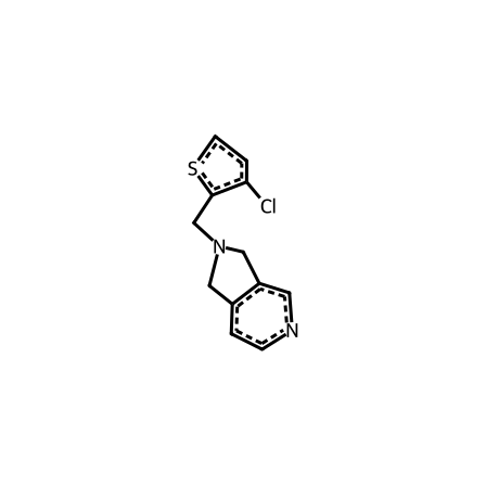 Clc1ccsc1CN1Cc2ccncc2C1